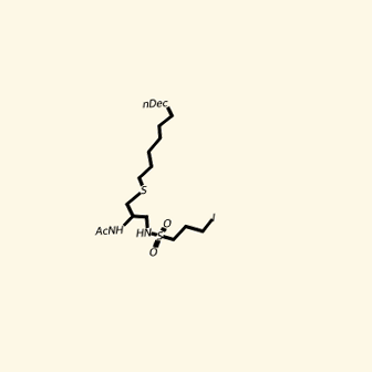 CCCCCCCCCCCCCCCCSCC(CNS(=O)(=O)CCCI)NC(C)=O